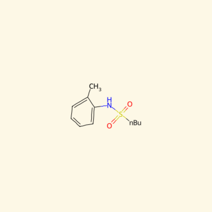 CCCCS(=O)(=O)Nc1ccccc1C